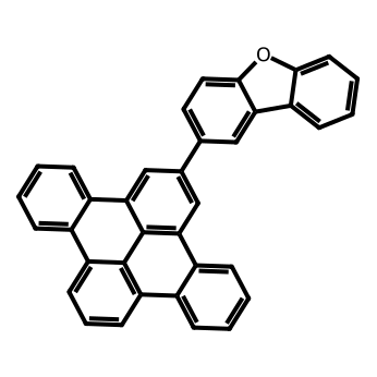 c1ccc2c(c1)oc1ccc(-c3cc4c5ccccc5c5cccc6c7ccccc7c(c3)c4c56)cc12